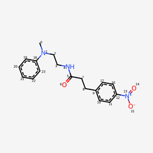 CN(CCNC(=O)CCc1ccc([N+](=O)[O-])cc1)c1ccccc1